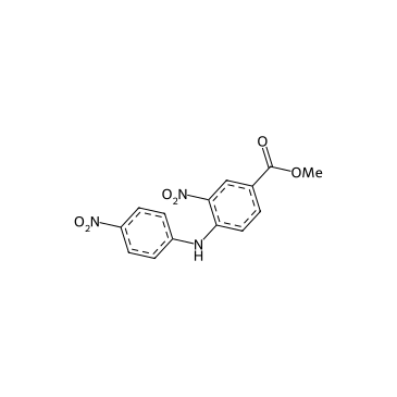 COC(=O)c1ccc(Nc2ccc([N+](=O)[O-])cc2)c([N+](=O)[O-])c1